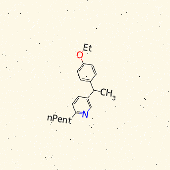 CCCCCc1ccc(C(C)c2ccc(OCC)cc2)cn1